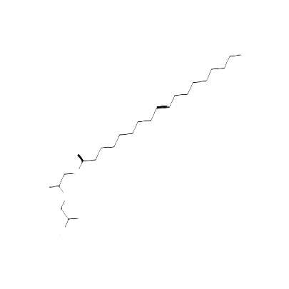 CCCCCCCC/C=C/CCCCCCCC(=O)OCC(C)OCC(C)O